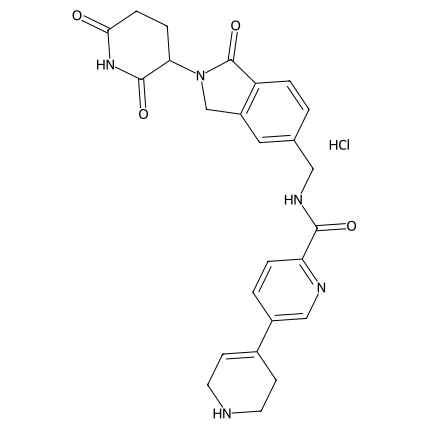 Cl.O=C1CCC(N2Cc3cc(CNC(=O)c4ccc(C5=CCNCC5)cn4)ccc3C2=O)C(=O)N1